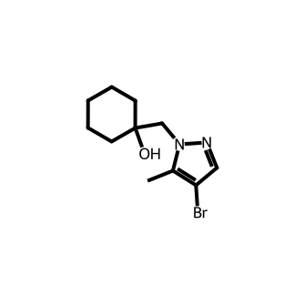 Cc1c(Br)cnn1CC1(O)CCCCC1